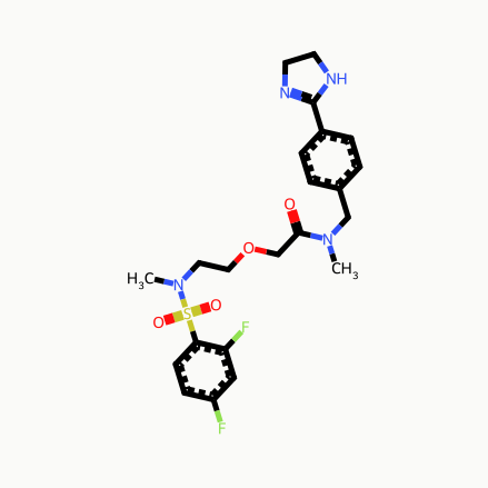 CN(Cc1ccc(C2=NCCN2)cc1)C(=O)COCCN(C)S(=O)(=O)c1ccc(F)cc1F